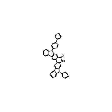 O=c1[nH]c2cc3c(cc2c2cc4c5ccccc5n(-c5ccc(-c6ccccc6)cc5)c4cc12)c1ccccc1n3-c1ccccc1